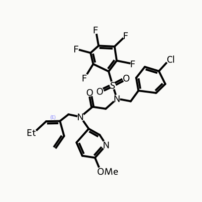 C=C/C(=C\CC)CN(C(=O)CN(Cc1ccc(Cl)cc1)S(=O)(=O)c1c(F)c(F)c(F)c(F)c1F)c1ccc(OC)nc1